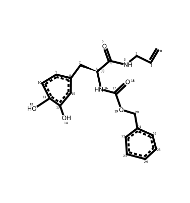 C=CCNC(=O)[C@H](Cc1ccc(O)c(O)c1)NC(=O)OCc1ccccc1